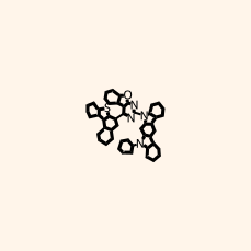 c1ccc(-n2c3ccccc3c3cc4c5ccccc5n(-c5nc(-c6cc7ccccc7c7c6sc6ccccc67)c6c(n5)oc5ccccc56)c4cc32)cc1